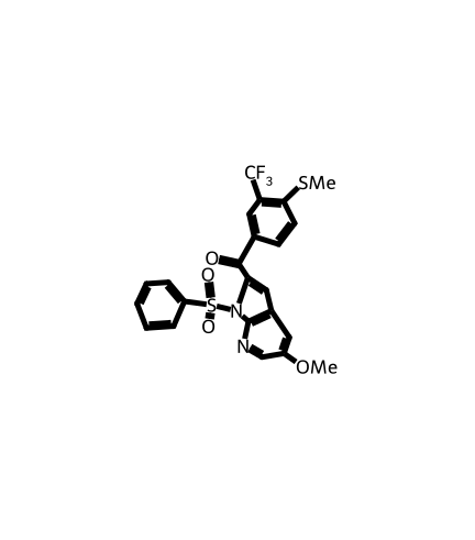 COc1cnc2c(c1)cc(C(=O)c1ccc(SC)c(C(F)(F)F)c1)n2S(=O)(=O)c1ccccc1